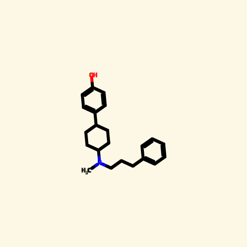 CN(CCCc1ccccc1)C1CCC(c2ccc(O)cc2)CC1